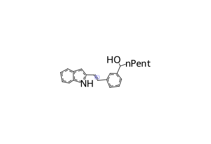 CCCCCC(O)c1cccc(/C=C/c2cc3ccccc3[nH]2)c1